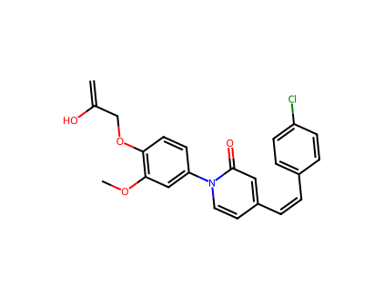 C=C(O)COc1ccc(-n2ccc(/C=C\c3ccc(Cl)cc3)cc2=O)cc1OC